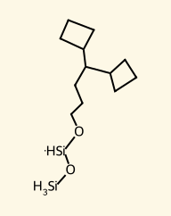 [SiH3]O[SiH]OCCCC(C1CCC1)C1CCC1